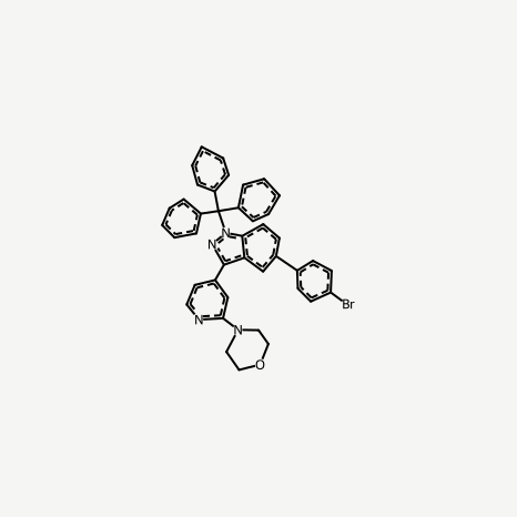 Brc1ccc(-c2ccc3c(c2)c(-c2ccnc(N4CCOCC4)c2)nn3C(c2ccccc2)(c2ccccc2)c2ccccc2)cc1